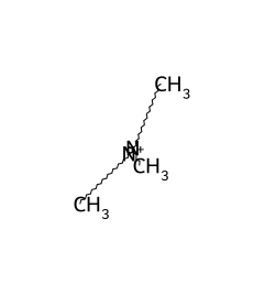 CCCCCCCCCCCCCCCCCCCn1cc[n+](CCCCCCCCCCCCCCCCCCC)c1CCCC